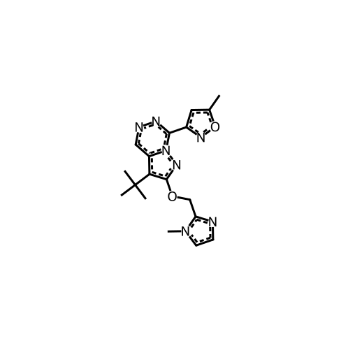 Cc1cc(-c2nncc3c(C(C)(C)C)c(OCc4nccn4C)nn23)no1